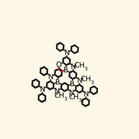 CN1c2cc3c(cc2B2c4ccccc4Oc4cc(N(c5ccccc5)c5ccccc5)cc1c42)B1c2cc4c(cc2N(C)c2cc(N(c5ccccc5)c5ccccc5)cc(c21)N3C)N(C)c1cc(N(c2ccccc2)c2ccccc2)cc2c1B4c1ccccc1N2c1ccccc1